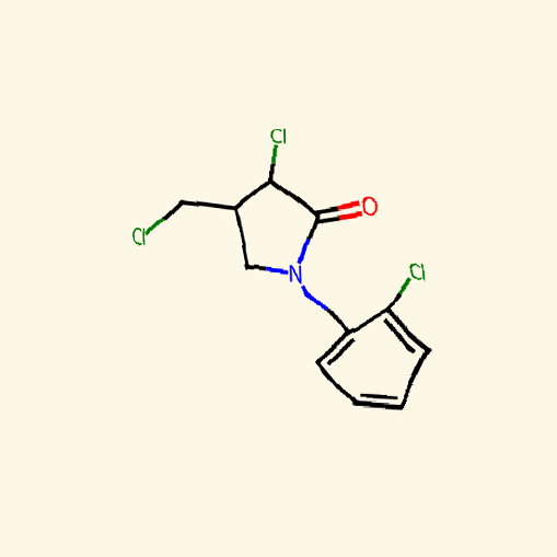 O=C1C(Cl)C(CCl)CN1c1ccccc1Cl